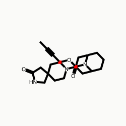 CC#CCOC(=O)N1C2CCCC1CC(N1CCC3(CC1)CNC(=O)C3)C2